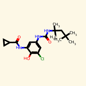 CC(C)(C)CC(C)(C)NC(=O)Nc1cc(Cl)c(O)c(NC(=O)C2CC2)c1